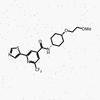 COCCO[C@H]1CC[C@H](NC(=O)c2cc(-c3cncs3)nc(C(F)(F)F)c2)CC1